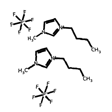 CCCC[n+]1ccn(C)c1.CCCC[n+]1ccn(C)c1.F[P-](F)(F)(F)(F)F.F[P-](F)(F)(F)(F)F